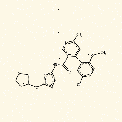 COc1cnc(Cl)cc1-c1cc(C)ncc1C(=O)Nc1nnc(OC2CCOC2)s1